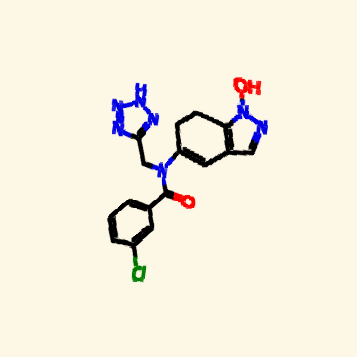 O=C(c1cccc(Cl)c1)N(Cc1nn[nH]n1)C1=Cc2cnn(O)c2CC1